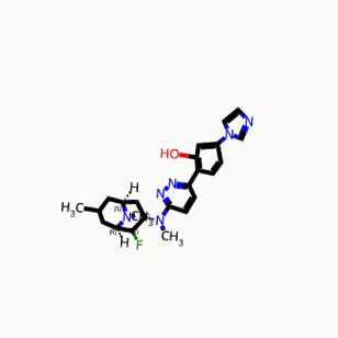 CC1C[C@H]2C[C@H](N(C)c3ccc(-c4ccc(-n5ccnc5)cc4O)nn3)[C@@H](F)[C@@H](C1)N2C